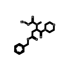 CN(C(=O)OC(C)(C)C)C(CC(=O)OCc1ccccc1)C(=O)N1CCOCC1